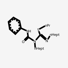 CCCCCCCN=C(SCCC)N(CCCCCCC)C(=O)Nc1ccccc1